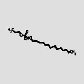 CCCCCCCCCCCCCCONC(=O)OCCC